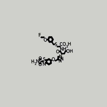 NS(=O)(=O)c1nc2ccc(OCc3cn(C(CCO)C(=O)NC(CSCc4cccc(OCCF)c4)C(=O)O)nn3)cc2s1